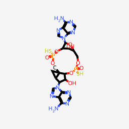 Nc1ncnc2c1ncn2C1OC2COP(=O)(S)OC3C(O)C(n4cnc5c(N)ncnc54)C4CC43COP(=O)(S)OC1C2O